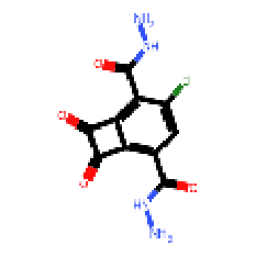 NNC(=O)c1cc(Cl)c(C(=O)NN)c2c(=O)c(=O)c12